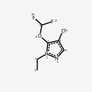 CCn1n[c]c(Cl)c1OC(F)F